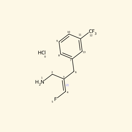 Cl.NC/C(=C\F)Cc1cccc(C(F)(F)F)c1